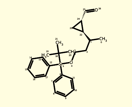 CC(CCO[Si](c1ccccc1)(c1ccccc1)C(C)(C)C)[C@H]1C[C@@H]1C=O